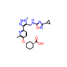 Cc1nc(-c2nnn(C)c2CNc2nc(C3CC3)no2)ccc1O[C@H]1CCC[C@H](C(=O)O)C1